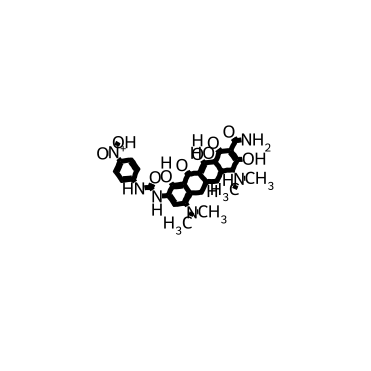 CN(C)c1cc(NC(=O)Nc2ccc([N+](=O)O)cc2)c(O)c2c1C[C@H]1C[C@H]3[C@@H](N(C)C)C(O)=C(C(N)=O)C(=O)[C@@]3(O)C(O)=C1C2=O